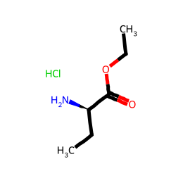 CCOC(=O)[C@H](N)CC.Cl